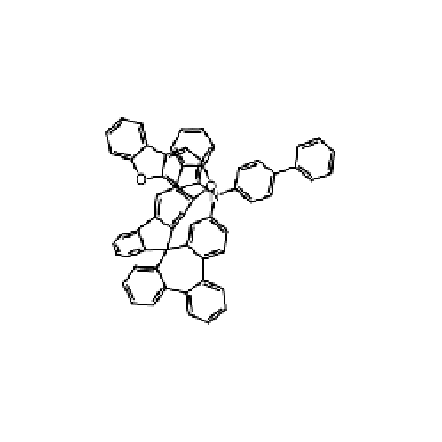 c1ccc(-c2ccc(N(c3ccc4c(c3)C3(c5ccccc5-c5ccccc5-4)c4ccccc4-c4cc5c(cc43)oc3ccccc35)c3ccc4c(c3)oc3ccccc34)cc2)cc1